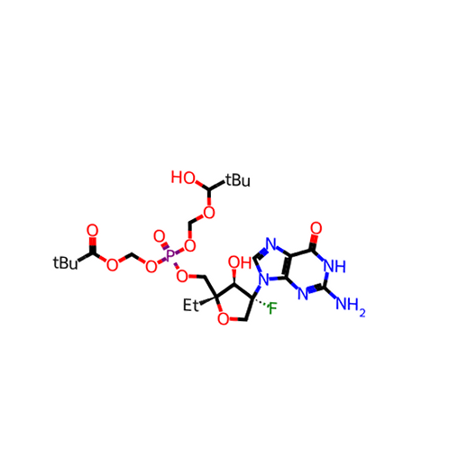 CC[C@]1(COP(=O)(OCOC(=O)C(C)(C)C)OCOC(O)C(C)(C)C)OC[C@](F)(n2cnc3c(=O)[nH]c(N)nc32)[C@@H]1O